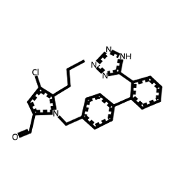 CCCc1c(Cl)cc(C=O)n1Cc1ccc(-c2ccccc2-c2nnn[nH]2)cc1